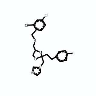 Fc1ccc(CCC2(Cn3ccnc3)OCC(CSCc3ccc(Cl)cc3Cl)O2)cc1